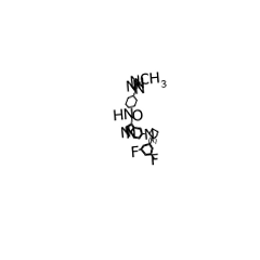 Cn1nnc(C2CCC(NC(=O)c3cnn4ccc(N5CCC[C@@H]5c5cc(F)cc(F)c5)cc34)CC2)n1